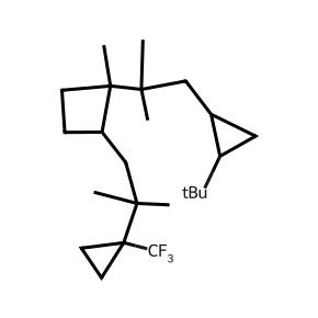 CC(C)(C)C1CC1CC(C)(C)C1(C)CCC1CC(C)(C)C1(C(F)(F)F)CC1